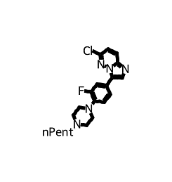 CCCCCN1CCN(c2ccc(-c3cnc4ccc(Cl)nn34)cc2F)CC1